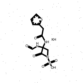 O=CNC1(NC(=O)Cc2cccs2)CN(S(=O)(=O)O)C1=O.[KH]